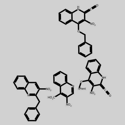 CCCCCOC1=C([N+](=O)[O-])C(=C=O)Nc2ccccc21.O=C(O)c1c([N+](=O)[O-])cnc2ccccc12.O=C=C1Nc2ccccc2C(OCc2ccccc2)=C1[N+](=O)[O-].O=[N+]([O-])c1cc2ccccc2nc1Cc1ccccc1